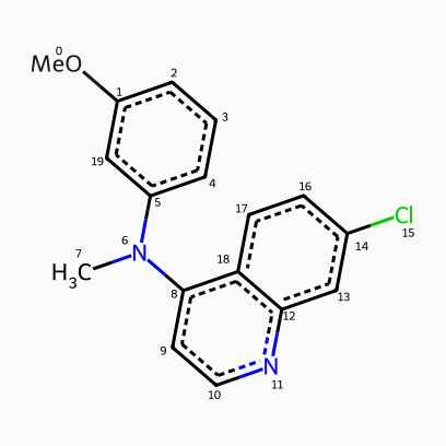 COc1cccc(N(C)c2ccnc3cc(Cl)ccc23)c1